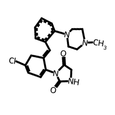 CN1CCN(c2ccccc2C=C2CC(Cl)=CC=C2N2C(=O)CNC2=O)CC1